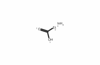 CCC(=O)O.[InH3]